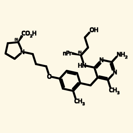 CCC[C@@H](CCO)Nc1nc(N)nc(C)c1Cc1ccc(OCCCN2CCC[C@H]2C(=O)O)cc1C